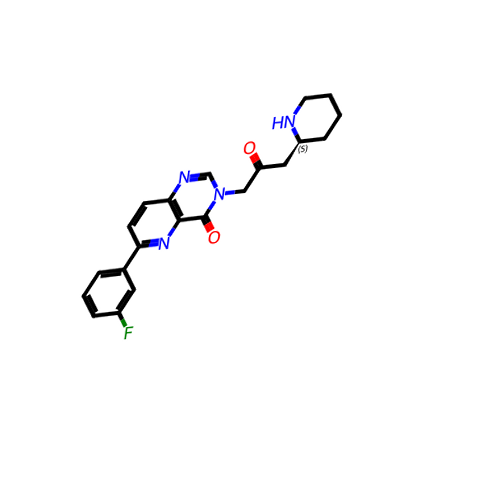 O=C(C[C@@H]1CCCCN1)Cn1cnc2ccc(-c3cccc(F)c3)nc2c1=O